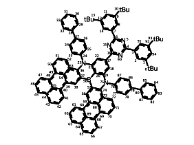 CC(C)(C)c1cc(-c2nc(-c3cc(C(C)(C)C)cc(C(C)(C)C)c3)nc(-c3cc4c5c(c3)N(c3ccc(-c6ccccc6)cc3)c3c(cc6c7cccc8cccc(c9cccc3c96)c87)B5c3cc5c6cccc7cccc(c8cccc(c3N4c3ccc(-c4ccccc4)cc3)c85)c76)n2)cc(C(C)(C)C)c1